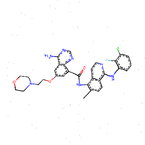 Cc1ccc2c(Nc3cccc(Cl)c3F)nccc2c1NC(=O)c1cc(OCCN2CCOCC2)cc2c(N)ncnc12